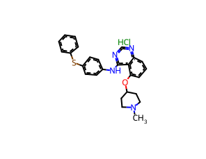 CN1CCC(Oc2cccc3ncnc(Nc4ccc(Sc5ccccc5)cc4)c23)CC1.Cl